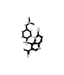 CC(=O)c1cnc2ccc(Cl)nc2c1NC1CCC(CN(C)C)CC1